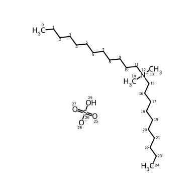 CCCCCCCCCCCC[N+](C)(C)CCCCCCCCCC.O=S(=O)([O-])O